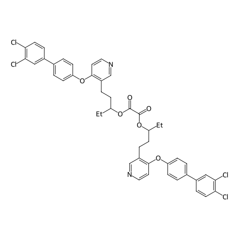 CCC(CCc1cnccc1Oc1ccc(-c2ccc(Cl)c(Cl)c2)cc1)OC(=O)C(=O)OC(CC)CCc1cnccc1Oc1ccc(-c2ccc(Cl)c(Cl)c2)cc1